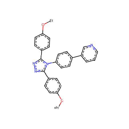 CCCOc1ccc(-c2nnc(-c3ccc(OCC)cc3)n2-c2ccc(-c3cccnc3)cc2)cc1